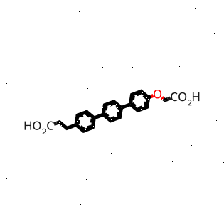 O=C(O)CCc1ccc(-c2ccc(-c3ccc(OCC(=O)O)cc3)cc2)cc1